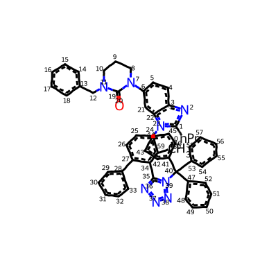 CCCc1nc2ccc(N3CCCN(Cc4ccccc4)C3=O)cc2n1-c1ccc(-c2ccccc2)c(-c2nnnn2C(c2ccccc2)(c2ccccc2)c2ccccc2)c1C